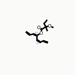 C=C/C=C\C(=C/C=C)OC(=O)C(C)(CC)OC